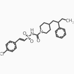 CCC(CC1CCN(C(=O)NS(=O)(=O)/C=C/c2ccc(Cl)cc2)CC1)c1ccccc1